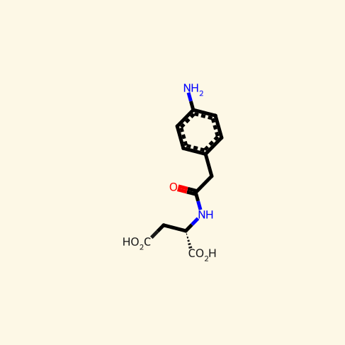 Nc1ccc(CC(=O)N[C@@H](CC(=O)O)C(=O)O)cc1